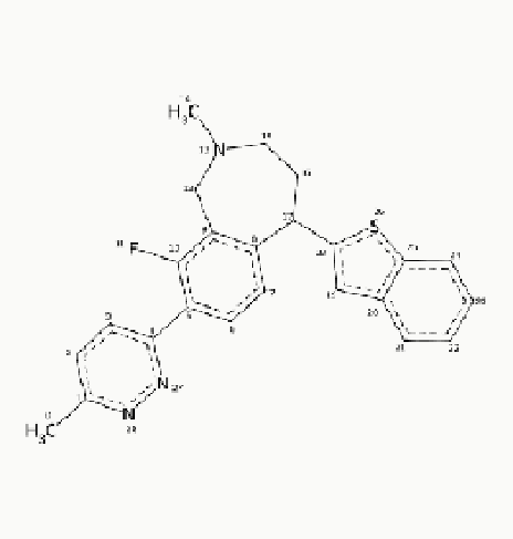 Cc1ccc(-c2ccc3c(c2F)CN(C)CCC3c2cc3ccccc3s2)nn1